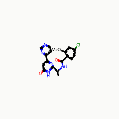 COc1cc(Cl)ccc1C(=O)NC(C)c1nc(-c2ccncn2)cc(=O)[nH]1